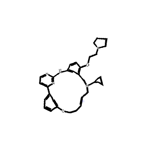 C1=C/CN(C2CC2)Cc2cc(ccc2OCCN2CCCC2)Nc2nccc(n2)-c2cccc(c2)OCC/1